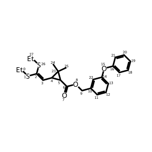 CCSC(=CC1C(C(=O)OCc2cccc(Oc3ccccc3)c2)C1(C)C)SCC